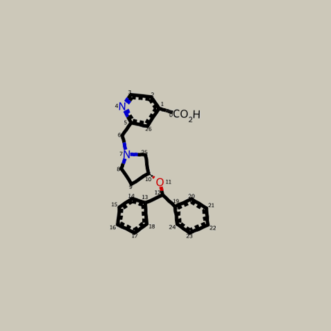 O=C(O)c1ccnc(CN2CC[C@@H](OC(c3ccccc3)c3ccccc3)C2)c1